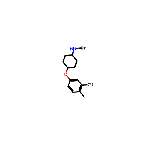 Cc1ccc(OC2CCC(NC(C)C)CC2)cc1C#N